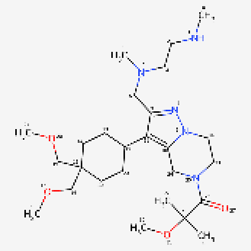 CNCCN(C)Cc1nn2c(c1C1CCC(COC)(COC)CC1)CN(C(=O)C(C)(C)OC)CC2